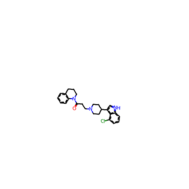 O=C(CCN1CCC(c2c[nH]c3cccc(Cl)c23)CC1)N1CCCc2ccccc21